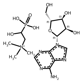 C[N+](C)(C)CC(O)P(=O)(O)O.Nc1ncnc2c1ncn2[C@@H]1O[C@H](CO)[C@@H](O)[C@H]1O